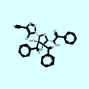 N#CC1=C([O-])N([C@@H]2O[C@H](C(O)C(=O)c3ccccc3)[C@](O)(C(=O)c3ccccc3)[C@]2(O)C(=O)c2ccccc2)[C+]=N1